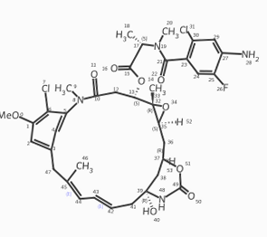 COc1cc2cc(c1Cl)N(C)C(=O)C[C@H](OC(=O)[C@H](C)N(C)C(=O)c1cc(F)c(N)cc1Cl)[C@]1(C)O[C@H]1C[C@@H]1C[C@](O)(C/C=C/C=C(\C)C2)NC(=O)O1